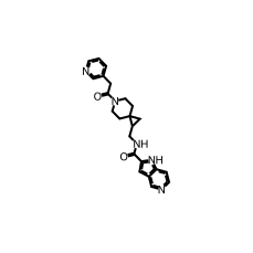 O=C(NCC1CC12CCN(C(=O)Cc1cccnc1)CC2)c1cc2cnccc2[nH]1